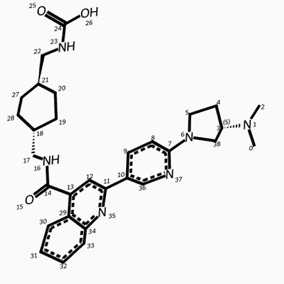 CN(C)[C@H]1CCN(c2ccc(-c3cc(C(=O)NC[C@H]4CC[C@H](CNC(=O)O)CC4)c4ccccc4n3)cn2)C1